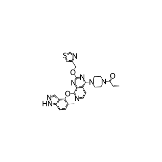 C=CC(=O)N1CCN(c2nc(OCc3cscn3)nc3c(Oc4c(C)ccc5[nH]ncc45)nccc23)CC1